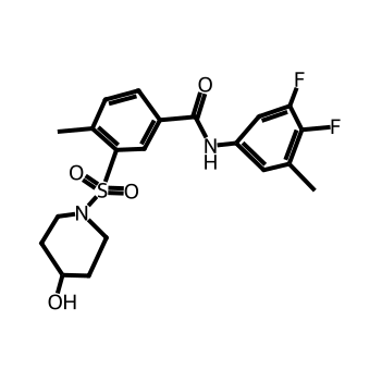 Cc1ccc(C(=O)Nc2cc(C)c(F)c(F)c2)cc1S(=O)(=O)N1CCC(O)CC1